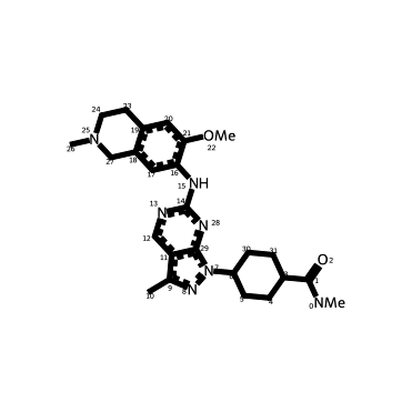 CNC(=O)C1CCC(n2nc(C)c3cnc(Nc4cc5c(cc4OC)CCN(C)C5)nc32)CC1